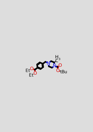 CCOC(OCC)c1ccc(CN2CCN(C(=O)OC(C)(C)C)[C@H](C)C2)cc1